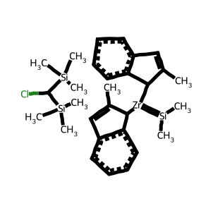 CC1=Cc2ccccc2[CH]1[Zr]([CH]1C(C)=Cc2ccccc21)=[Si](C)C.C[Si](C)(C)C(Cl)[Si](C)(C)C